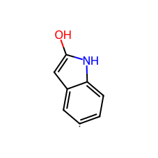 Oc1cc2c[c]ccc2[nH]1